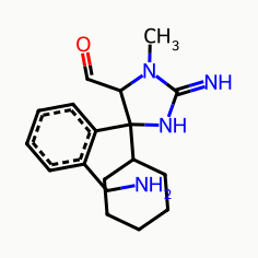 CN1C(=N)NC(c2ccccc2CN)(C2CCCCC2)C1C=O